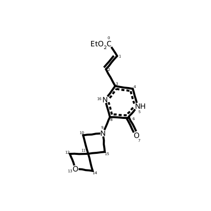 CCOC(=O)/C=C/c1c[nH]c(=O)c(N2CC3(COC3)C2)n1